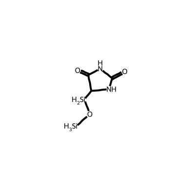 O=C1NC(=O)C([SiH2]O[SiH3])N1